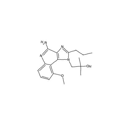 CCCc1nc2c(N)nc3cccc(OC)c3c2n1CC(C)(C)O